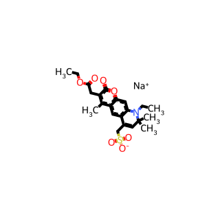 CCOC(=O)Cc1c(C)c2cc3c(cc2oc1=O)N(CC)C(C)(C)C=C3CS(=O)(=O)[O-].[Na+]